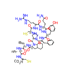 CCC[C@H](NC(=O)[C@@H](NC(=O)[C@@H]1CC2CCCCC2N1C(=O)[C@@H]1CCCN1C(=O)[C@H](Cc1ccccc1)NC(=O)[C@H](Cc1ccc(O)cc1)NC(=O)[C@H](CCC(N)=O)NC(=O)[C@H](CCCNC(=N)N)NC(=O)[C@@H](N)CS)[C@@H](C)CC)C(=O)N[C@@H](CS)C(=O)O